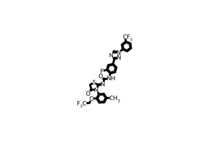 Cc1ccc(OCC(F)(F)F)c(N2C(=O)CSC2=NC(=O)Nc2ccc(-c3ncn(-c4cccc(C(F)(F)F)c4)n3)cc2F)c1